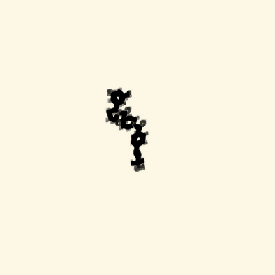 CC(C)(O)C#Cc1ccc(C(=O)N2CCC3(CC2)OC2CCC(c4cc(F)cc(F)c4)N2C3=O)cc1